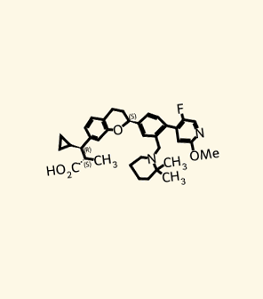 COc1cc(-c2ccc([C@@H]3CCc4ccc([C@H](C5CC5)[C@H](C)C(=O)O)cc4O3)cc2CN2CCCCC2(C)C)c(F)cn1